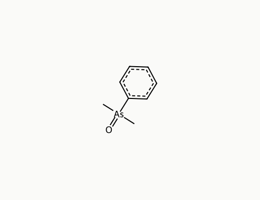 C[As](C)(=O)c1ccccc1